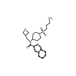 CCCCS(=O)(=O)N1CCC(N(CC2COC2)C(=O)c2cc3ccccc3cn2)CC1